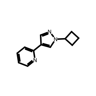 c1ccc(-c2cnn(C3CCC3)c2)nc1